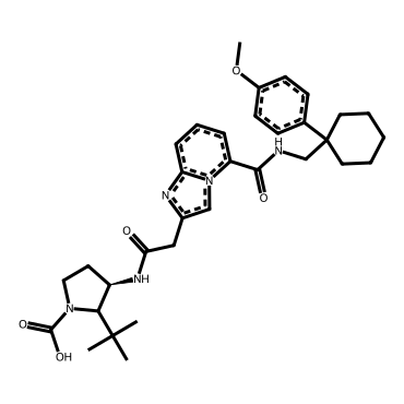 COc1ccc(C2(CNC(=O)c3cccc4nc(CC(=O)N[C@@H]5CCN(C(=O)O)C5C(C)(C)C)cn34)CCCCC2)cc1